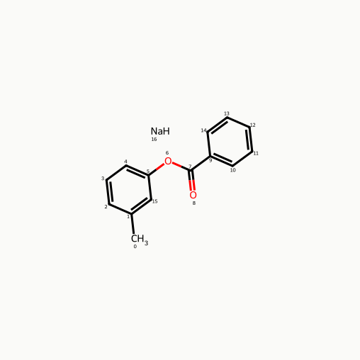 Cc1cccc(OC(=O)c2ccccc2)c1.[NaH]